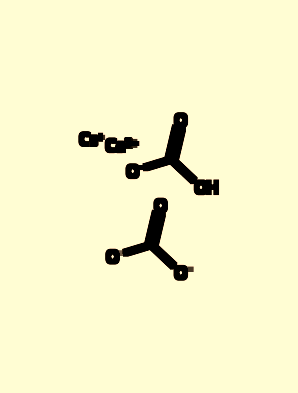 O=C([O-])O.O=C([O-])[O-].[Ca+2].[Cs+]